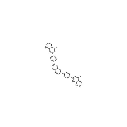 Cc1cc(-c2ccc(-c3ccc4ccc(-c5ccc(-c6cc(C)c7cccnc7n6)cc5)cc4c3)cc2)nc2ncccc12